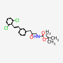 CC(C)(C)OC(=O)NCC(=O)Cc1cccc(/C=C/c2c(Cl)cccc2Cl)c1